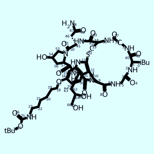 CCC(C)C1NC(=O)CNC(=O)C2Cc3c([nH]c4cc(OCCCCCCNC(=O)OC(C)(C)C)ccc34)SCC(NC(=O)CNC1=O)C(=O)N[C@@H](CC(N)=O)C(=O)N1CC(O)CC1C(=O)N[C@@H]([C@@H](C)C(O)CO)C(=O)N2